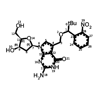 CC(C)(C)C(OCc1cn([C@H]2C[C@@H](O)[C@@H](CO)O2)c2nc(N)[nH]c(=O)c12)c1ccccc1[N+](=O)[O-]